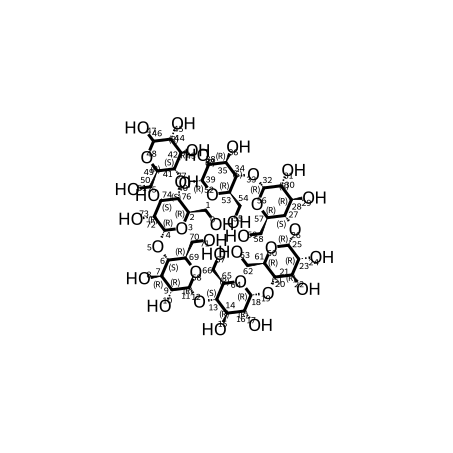 OC[C@H]1O[C@H](O[C@H]2[C@H](O)[C@@H](O)[C@@H](O[C@H]3[C@H](O)[C@@H](O)[C@@H](O[C@H]4[C@H](O)[C@@H](O)[C@@H](O[C@H]5[C@H](O)[C@@H](O)[C@@H](O[C@H]6[C@H](O)[C@@H](O)[C@@H](O[C@H]7[C@H](O)[C@@H](O)C(O)O[C@@H]7CO)O[C@@H]6CO)O[C@@H]5CO)O[C@@H]4CO)O[C@@H]3CO)O[C@@H]2CO)[C@H](O)[C@@H](O)[C@@H]1O